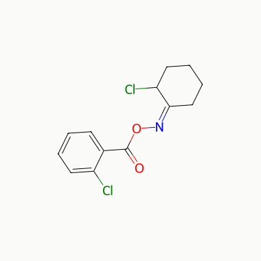 O=C(ON=C1CCCCC1Cl)c1ccccc1Cl